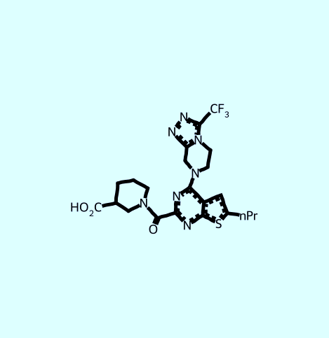 CCCc1cc2c(N3CCn4c(nnc4C(F)(F)F)C3)nc(C(=O)N3CCCC(C(=O)O)C3)nc2s1